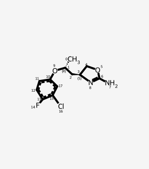 C[C@H](C[C@H]1COC(N)=N1)Oc1ccc(F)c(Cl)c1